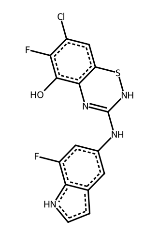 Oc1c(F)c(Cl)cc2c1N=C(Nc1cc(F)c3[nH]ccc3c1)NS2